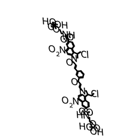 O=C(C=CN1CC(CCl)c2c1cc([N+](=O)[O-])c1cc(S(=O)(=O)NCCOP(=O)(O)O)ccc21)c1cccc(C=CC(=O)N2CC(CCl)c3c2cc([N+](=O)[O-])c2cc(S(=O)(=O)NCCOP(=O)(O)O)ccc32)c1